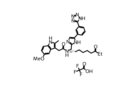 CCC(=O)CCCCC[C@H](NC(=O)Cc1c(C)[nH]c2ccc(OC)cc12)c1ncc(-c2cccc(-c3nnn[nH]3)c2)[nH]1.O=C(O)C(F)(F)F